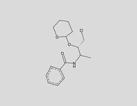 C[C](NC(=O)c1ccccc1)[C@@H](CCl)OC1CCCCO1